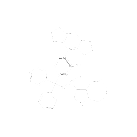 O=C(Nc1c2c(cc3c1CCC3)CCC2)NS(=O)(=NC(c1ccccc1)(c1ccccc1)c1ccccc1)c1cnn2c1COCCC2